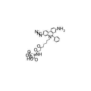 [N-]=[N+]=Nc1ccc2c3ccc(N)cc3c(-c3ccccc3)[n+](CCCCCC(=O)CC(=O)N[C@@H](CS(=O)(=O)[O-])C(=O)O)c2c1